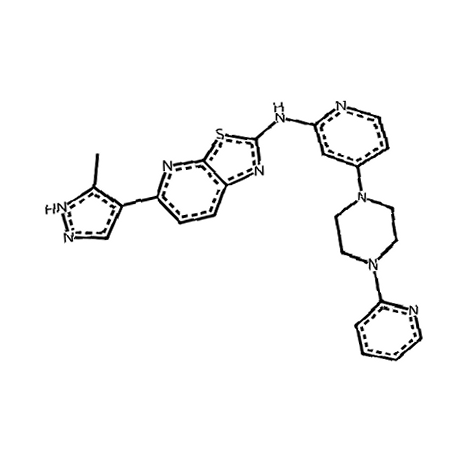 Cc1[nH]ncc1-c1ccc2nc(Nc3cc(N4CCN(c5ccccn5)CC4)ccn3)sc2n1